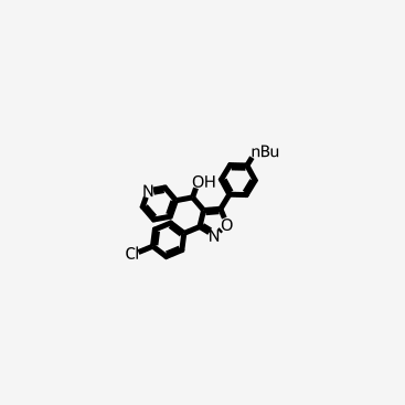 CCCCc1ccc(-c2onc(-c3ccc(Cl)cc3)c2C(O)c2cccnc2)cc1